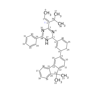 C/C=C(/C1=NC(C2=CC(c3ccc4c(c3)-c3ccccc3C4(C)C)CC=C2)NC(c2ccccc2)=N1)C(C)C